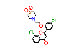 O=c1cc(-c2ccc(Br)cc2OCCN2CCS(=O)(=O)CC2)oc2c(Cl)cccc12